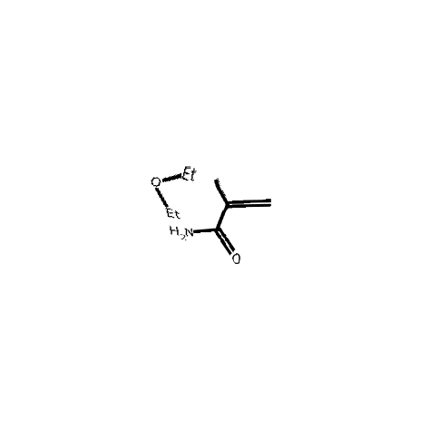 C=C(C)C(N)=O.CCOCC